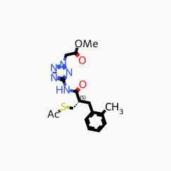 COC(=O)Cn1nnc(NC(=O)[C@@H](CSC(C)=O)Cc2ccccc2C)n1